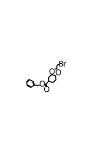 O=C(OCc1ccccc1)C1CCC2OC(CBr)OC2C1